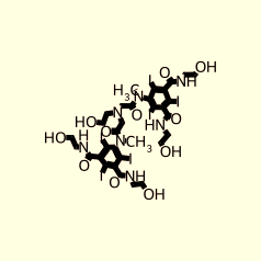 CN(C(=O)CN(CCO)CC(=O)N(C)c1c(I)c(C(=O)NCCO)c(I)c(C(=O)NCCO)c1I)c1c(I)c(C(=O)NCCO)c(I)c(C(=O)NCCO)c1I